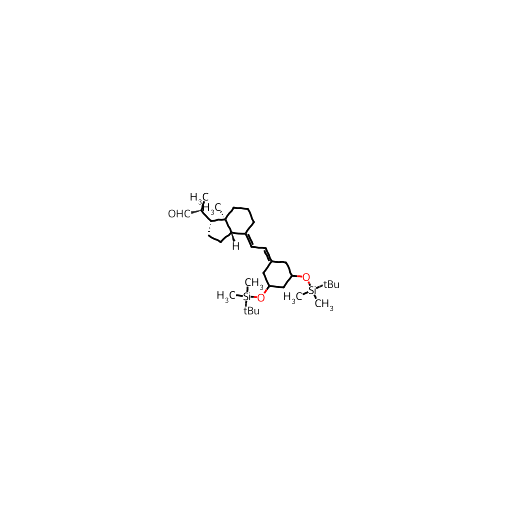 C[C@H](C=O)[C@H]1CC[C@H]2/C(=C/C=C3CC(O[Si](C)(C)C(C)(C)C)CC(O[Si](C)(C)C(C)(C)C)C3)CCC[C@]12C